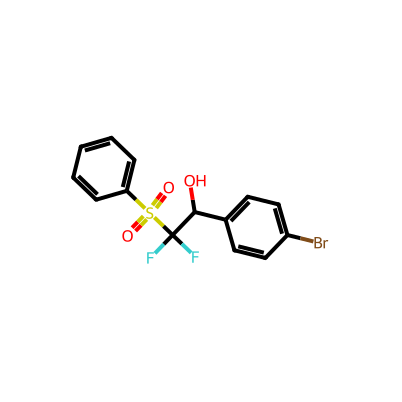 O=S(=O)(c1ccccc1)C(F)(F)C(O)c1ccc(Br)cc1